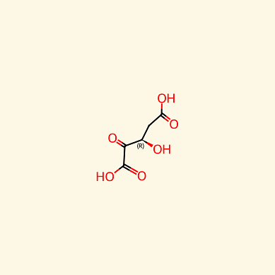 O=C(O)C[C@@H](O)C(=O)C(=O)O